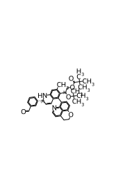 Cc1cc2c(c(-c3ccc4c5c(ccnc35)CCO4)c1[C@@H](COC(=O)C(C)(C)C)OC(C)(C)C)C=C[C@H](c1cccc(C=O)c1)N2